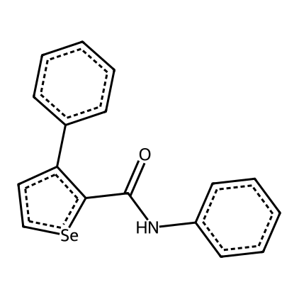 O=C(Nc1ccccc1)c1[se]ccc1-c1ccccc1